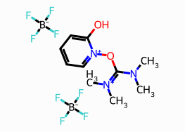 CN(C)C(O[n+]1ccccc1O)=[N+](C)C.F[B-](F)(F)F.F[B-](F)(F)F